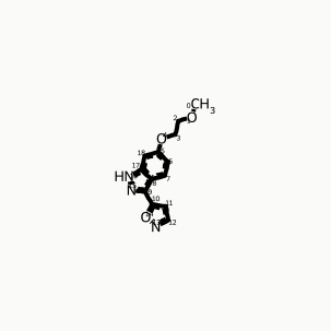 COCCOc1ccc2c(-c3ccno3)n[nH]c2c1